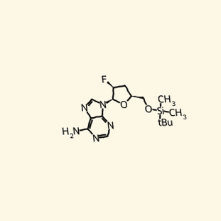 CC(C)(C)[Si](C)(C)OC[C@@H]1C[C@H](F)[C@H](n2cnc3c(N)ncnc32)O1